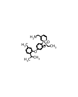 CCS(=O)(=O)[N+]1(c2ccc(Oc3cc(C)ccc3C(C)C)cc2)C=C(CN)C=CC1